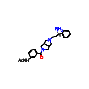 CC(=O)Nc1cccc(C(=O)N2CC3CN(CC[C@H](N)c4ccccc4)CC3C2)c1